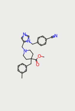 COC(=O)C1(Cc2cccc(C)c2)CCN(Cc2cncn2Cc2ccc(C#N)cc2)CC1